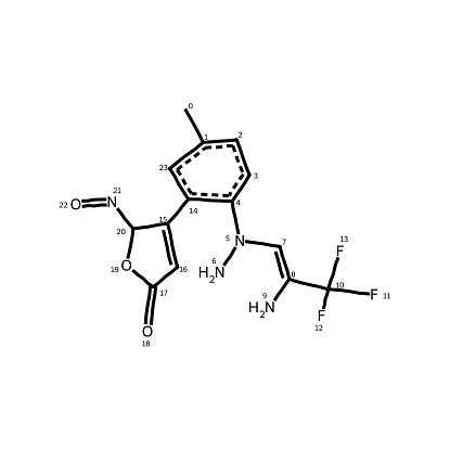 Cc1ccc(N(N)/C=C(\N)C(F)(F)F)c(C2=CC(=O)OC2N=O)c1